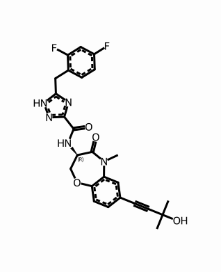 CN1C(=O)[C@H](NC(=O)c2n[nH]c(Cc3ccc(F)cc3F)n2)COc2ccc(C#CC(C)(C)O)cc21